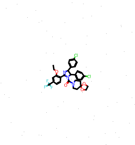 CCOc1cc(C(F)(F)F)ccc1C1=NC(c2ccc(Cl)cc2)C(c2ccc(Cl)cc2)N1C(=O)N1CCC2(CC1)OCCO2